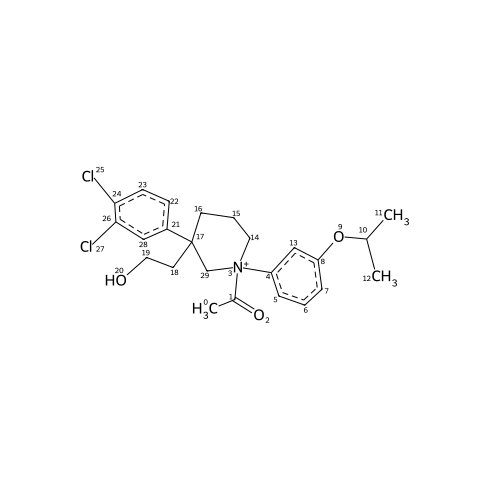 CC(=O)[N+]1(c2cccc(OC(C)C)c2)CCCC(CCO)(c2ccc(Cl)c(Cl)c2)C1